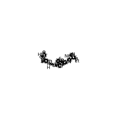 CCOc1cc(-c2ccc(N3CCC(CN4CCN(CCOCCC(=O)NC5C=Cc6c(N7CCC(=O)NC7=O)nn(C)c6C5)CC4)(NC(=O)c4cc(F)ccc4F)CC3)nc2)c2c(C#N)cnn2c1